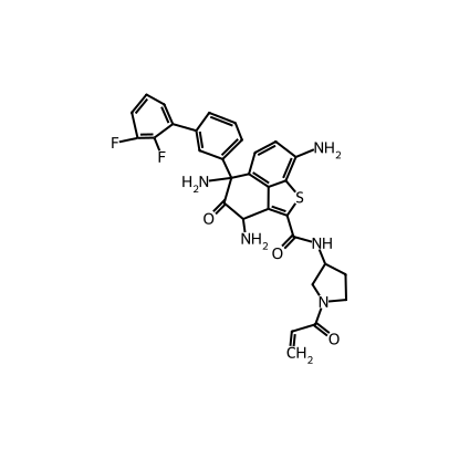 C=CC(=O)N1CCC(NC(=O)c2sc3c(N)ccc4c3c2C(N)C(=O)C4(N)c2cccc(-c3cccc(F)c3F)c2)C1